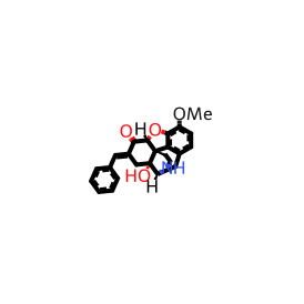 COc1ccc2c3c1O[C@H]1C(=O)/C(=C/c4ccccc4)C[C@@]4(O)[C@@H](C2)NCC[C@]314